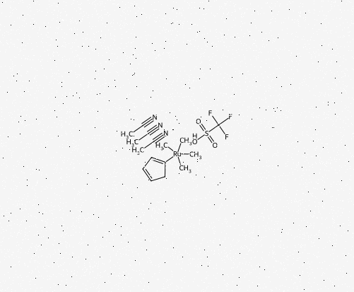 CC#N.CC#N.CC#N.O=S(=O)(O)C(F)(F)F.[CH3][Ru]([CH3])([CH3])([CH3])[C]1=CC=CC1